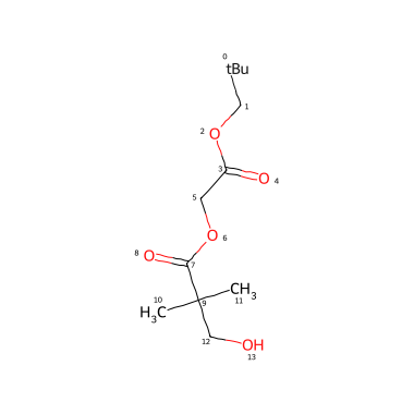 CC(C)(C)COC(=O)COC(=O)C(C)(C)CO